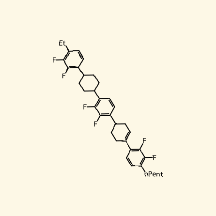 CCCCCc1ccc(C2=CCC(c3ccc(C4CCC(c5ccc(CC)c(F)c5F)CC4)c(F)c3F)CC2)c(F)c1F